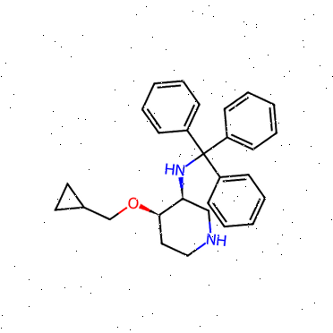 c1ccc(C(N[C@H]2CNCC[C@H]2OCC2CC2)(c2ccccc2)c2ccccc2)cc1